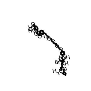 CN(CCCNc1nc(Nc2ccc(OCCOCCOCCOCCCc3ccc4c(c3)n(C)c(=O)n4C3CCC(=O)NC3O)cc2)ncc1Br)C(=O)C1CCC1